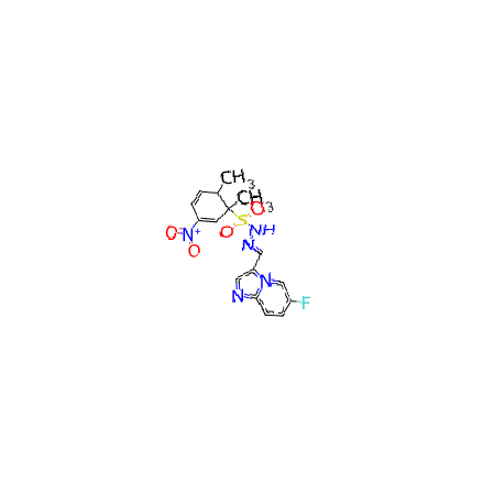 CC1C=CC([N+](=O)[O-])=CC1(C)S(=O)(=O)NN=Cc1cnc2ccc(F)cn12